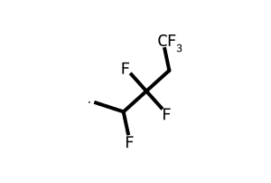 [CH2]C(F)C(F)(F)CC(F)(F)F